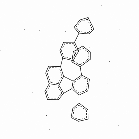 c1ccc(-c2ccc(-c3ccc4cccc5c4c3-c3c(-c4ccccc4)ccc(-c4ccccc4)c3-5)cc2)cc1